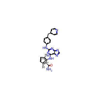 NC(=O)[C@@H]1[C@H](Nc2[nH]c(Nc3ccc(Cc4ccncc4)cc3)nc3ncnc2-3)[C@H]2C=C[C@@H]1C2